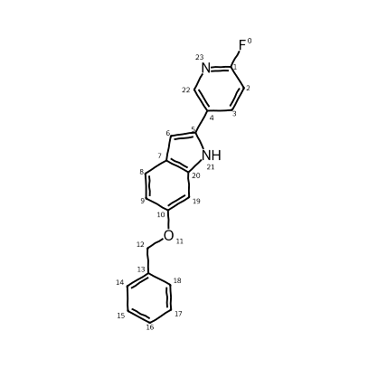 Fc1ccc(-c2cc3ccc(OCc4ccccc4)cc3[nH]2)cn1